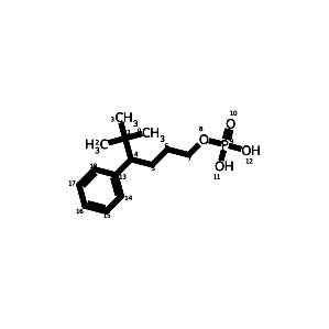 CC(C)(C)C(CCCOP(=O)(O)O)c1ccccc1